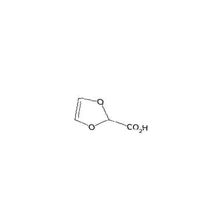 O=C(O)C1OC=CO1